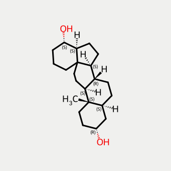 C[C@]12CC[C@@H](O)C[C@@H]1CC[C@H]1[C@@H]3CC[C@@H]4[C@@H](O)CCCC43CC[C@@H]12